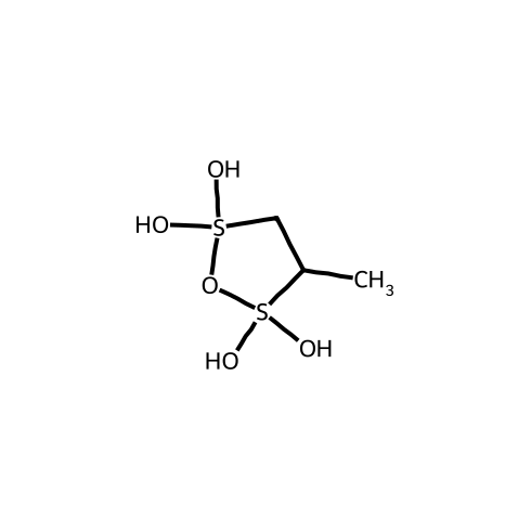 CC1CS(O)(O)OS1(O)O